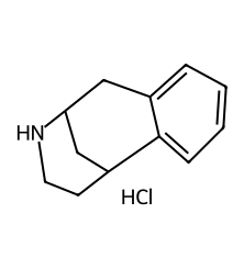 Cl.c1ccc2c(c1)CC1CC2CCN1